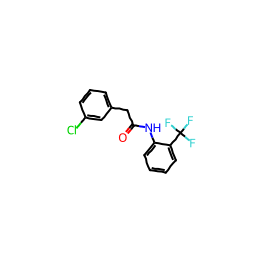 O=C(Cc1cccc(Cl)c1)Nc1ccccc1C(F)(F)F